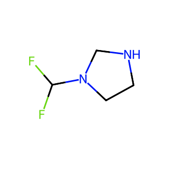 FC(F)N1CCNC1